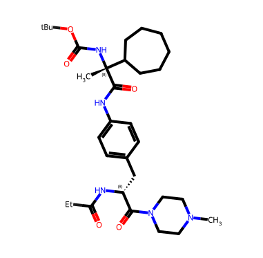 CCC(=O)N[C@H](Cc1ccc(NC(=O)[C@](C)(NC(=O)OC(C)(C)C)C2CCCCCC2)cc1)C(=O)N1CCN(C)CC1